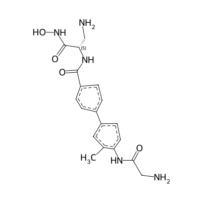 Cc1cc(-c2ccc(C(=O)N[C@@H](CN)C(=O)NO)cc2)ccc1NC(=O)CN